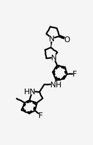 Cc1ccc(F)c2c1NC(CNc1cc(F)cc(N3CC[C@@H](N4CCCC4=O)C3)c1)C2